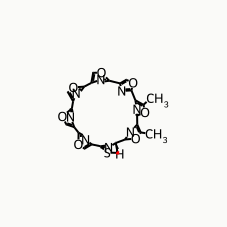 Cc1oc2nc1-c1nc(co1)-c1nc(co1)-c1nc(co1)-c1nc(co1)-c1nc(co1)C1=N[C@@H](CS1)c1nc-2c(C)o1